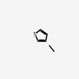 CC.c1ccsc1